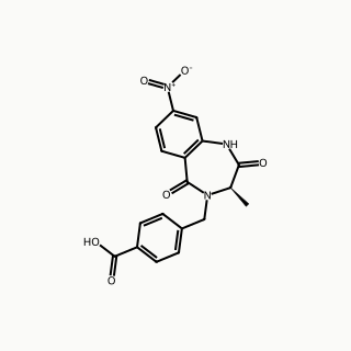 C[C@@H]1C(=O)Nc2cc([N+](=O)[O-])ccc2C(=O)N1Cc1ccc(C(=O)O)cc1